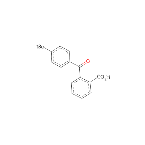 CC(C)(C)c1ccc(C(=O)c2ccccc2C(=O)O)cc1